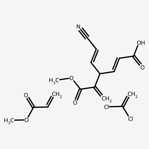 C=C(C(=O)OC)C(C=CC#N)C=CC(=O)O.C=C(Cl)Cl.C=CC(=O)OC